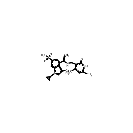 C=C(NCc1c(C)cc(C)[nH]c1=O)c1cc(S(C)(=O)=O)cc2c1c(C)cn2C1CC1